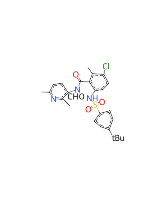 Cc1ccc(N(C=O)C(=O)c2c(NS(=O)(=O)c3ccc(C(C)(C)C)cc3)ccc(Cl)c2C)c(C)n1